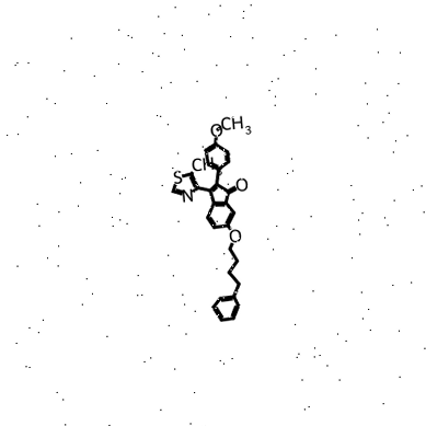 COc1ccc(C2=C(c3ncsc3C)c3ccc(OCCCCc4ccccc4)cc3C2=O)cc1